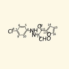 O=C/C(=N/Nc1ccc(Cl)cc1)C(=O)c1ccco1